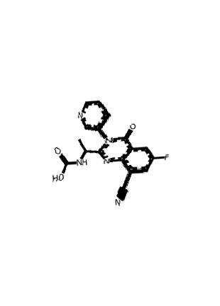 CC(NC(=O)O)c1nc2c(C#N)cc(F)cc2c(=O)n1-c1cccnc1